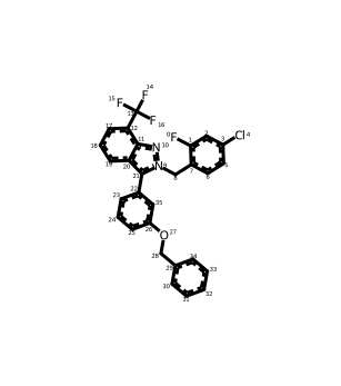 Fc1cc(Cl)ccc1Cn1nc2c(C(F)(F)F)cccc2c1-c1cccc(OCc2ccccc2)c1